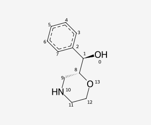 O[C@H](c1ccccc1)[C@H]1CNCCO1